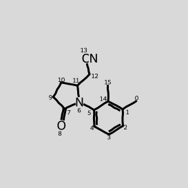 Cc1cccc(N2C(=O)CCC2CC#N)c1C